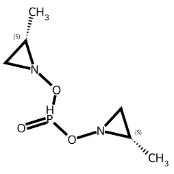 C[C@H]1CN1O[PH](=O)ON1C[C@@H]1C